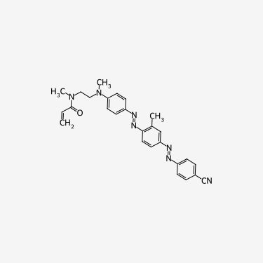 C=CC(=O)N(C)CCN(C)c1ccc(/N=N/c2ccc(/N=N/c3ccc(C#N)cc3)cc2C)cc1